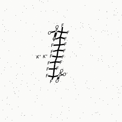 O=S(=O)([O-])C(F)(F)C(F)(F)C(F)(F)C(F)(F)C(F)(F)C(F)(F)C(F)(F)C(F)(F)S(=O)(=O)[O-].[K+].[K+]